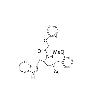 COc1ccccc1CN(CC(Cc1c[nH]c2ccccc12)NC(=O)COc1ccccn1)C(C)=O